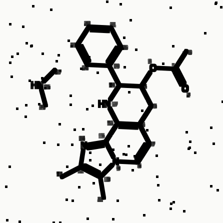 CC(=O)OC1Cc2ccn3c(C)c(C)nc3c2NC1c1ccccc1.CNC